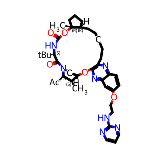 CC(=O)[C@@H]1[C@H](C)[C@@H]2CN1C(=O)[C@H](C(C)(C)C)NC(=O)O[C@]1(C)CCC[C@H]1CCCCCc1nc3ccc(OCCNc4ncccn4)cc3nc1O2